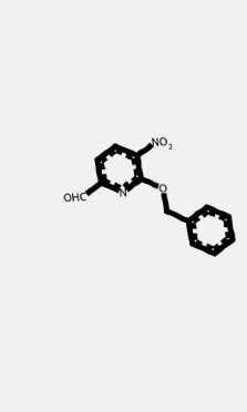 O=Cc1ccc([N+](=O)[O-])c(OCc2ccccc2)n1